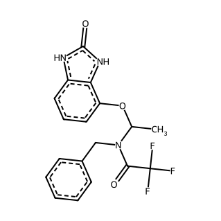 CC(Oc1cccc2[nH]c(=O)[nH]c12)N(Cc1ccccc1)C(=O)C(F)(F)F